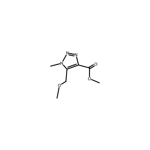 COCc1c(C(=O)OC)nnn1C